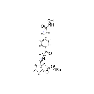 CC(C)(C)OC(=O)NC1(/C=N/NC(=O)c2ccc(/C=C/C(=O)NO)cc2)CCCC1